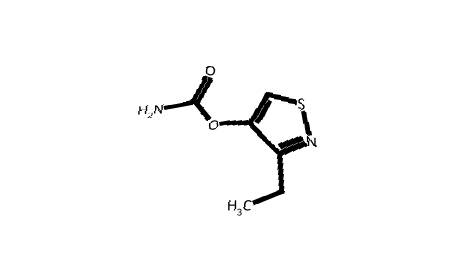 CCc1nscc1OC(N)=O